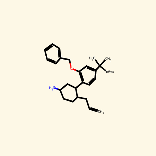 C=CCC1CCC(N)CC1c1ccc(C(C)(C)CCCCCC)cc1OCc1ccccc1